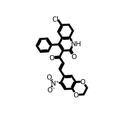 O=C(C=Cc1cc2c(cc1[N+](=O)[O-])OCCO2)c1c(-c2ccccc2)c2c([nH]c1=O)CCC(Cl)=C2